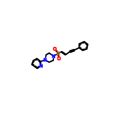 O=S(=O)(C=CC#Cc1ccccc1)N1CCN(c2ccccn2)CC1